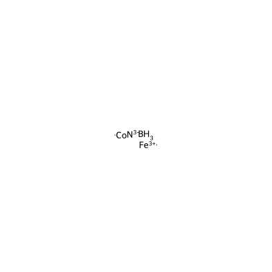 B.[Co].[Fe+3].[N-3]